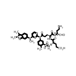 Cc1ccc(N(C(=O)CC[C@H](NC(=O)[C@@H](N)CCC(=O)O)C(=O)N[C@H](C=O)CCN)c2nccc(N(C)c3ccc4c(C)n(C)nc4c3)n2)cc1S(N)(=O)=O